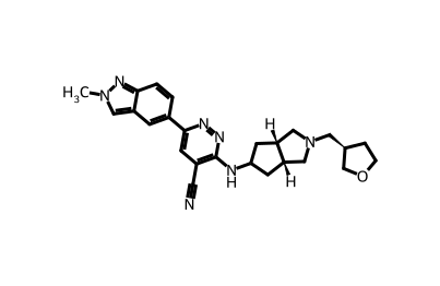 Cn1cc2cc(-c3cc(C#N)c(NC4C[C@@H]5CN(C[C@H]6CCOC6)C[C@@H]5C4)nn3)ccc2n1